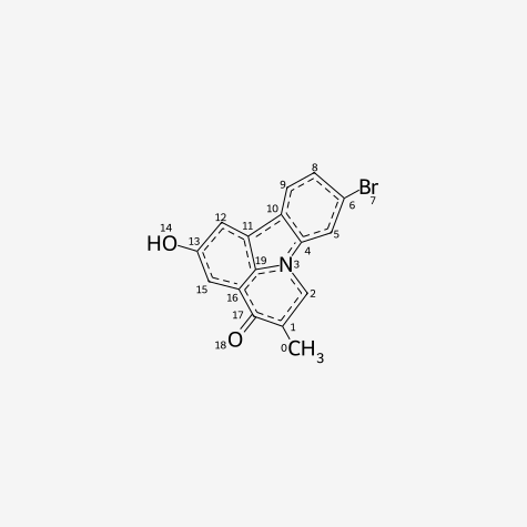 Cc1cn2c3cc(Br)ccc3c3cc(O)cc(c1=O)c32